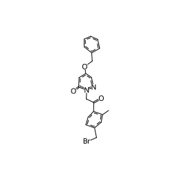 Cc1cc(CBr)ccc1C(=O)Cn1ncc(OCc2ccccc2)cc1=O